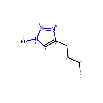 CCn1cc(CCCF)nn1